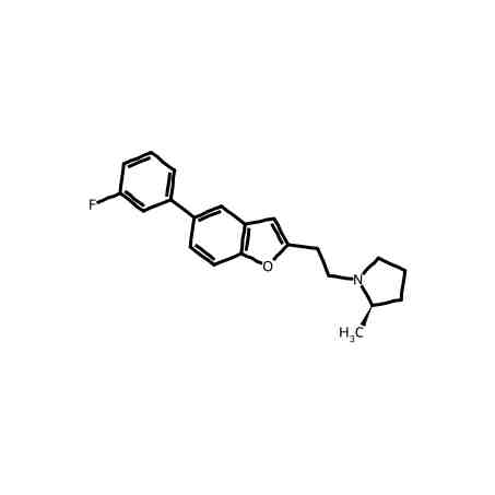 C[C@@H]1CCCN1CCc1cc2cc(-c3cccc(F)c3)ccc2o1